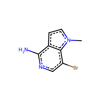 Cn1ccc2c(N)ncc(Br)c21